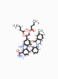 CCCC(=O)OCC(OC(=O)CCC)c1ccc2c(c1)[nH]c1c(C(N)=O)ccc(-c3cccc(N4Cc5ccc(C)cc5C4=O)c3C)c12